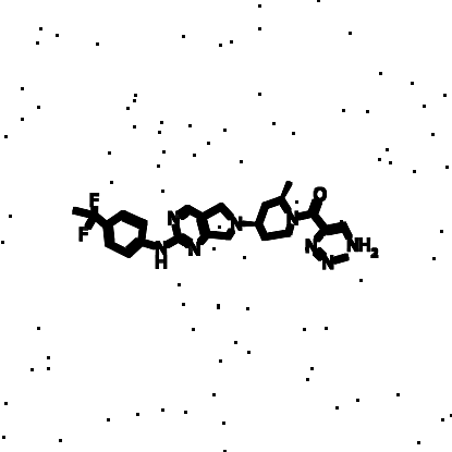 C/N=N\C(=C/N)C(=O)N1CC[C@@H](N2Cc3cnc(Nc4ccc(C(C)(F)F)cc4)nc3C2)C[C@H]1C